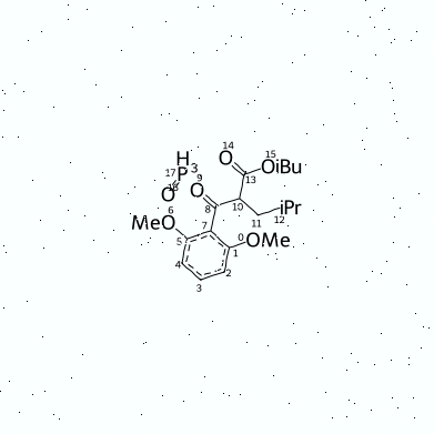 COc1cccc(OC)c1C(=O)C(CC(C)C)C(=O)OCC(C)C.O=[PH3]